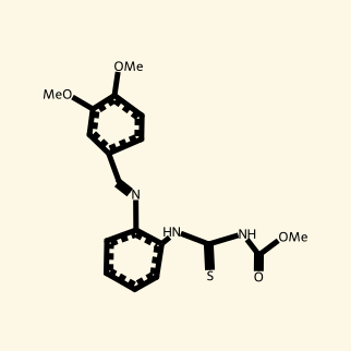 COC(=O)NC(=S)Nc1ccccc1N=Cc1ccc(OC)c(OC)c1